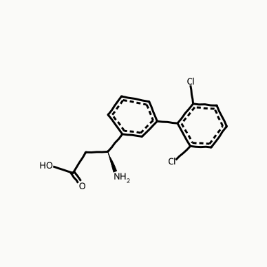 N[C@@H](CC(=O)O)c1cccc(-c2c(Cl)cccc2Cl)c1